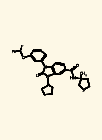 CC1(NC(=O)c2ccc3c(c2)n(C2CCCC2)c(=O)n3-c2cccc(OC(F)F)c2)CCSC1